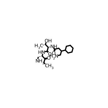 CCC(=O)[C@H](CN)NC(=O)[C@@H](NC(=O)CC(CN)C1CCCCC1)[C@H](C)O